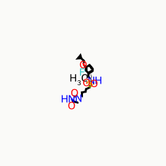 C[C@H](NS(=O)(=O)CCCCCN1CC(=O)NC1=O)c1cccc(OCC2CC2)c1F